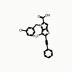 Cc1c(C#Cc2ccccc2)sc2cc(C(=O)O)n(Cc3cccc(Cl)c3)c12